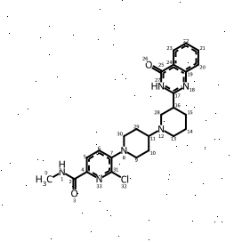 CNC(=O)c1ccc(N2CCC(N3CCCC(c4nc5ccccc5c(=O)[nH]4)C3)CC2)c(Cl)n1